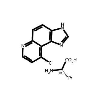 CC(C)[C@H](N)C(=O)O.Clc1ccnc2ccc3[nH]cnc3c12